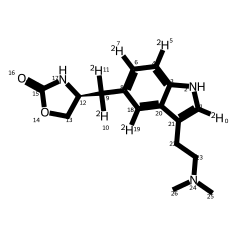 [2H]c1[nH]c2c([2H])c([2H])c(C([2H])([2H])[C@H]3COC(=O)N3)c([2H])c2c1CCN(C)C